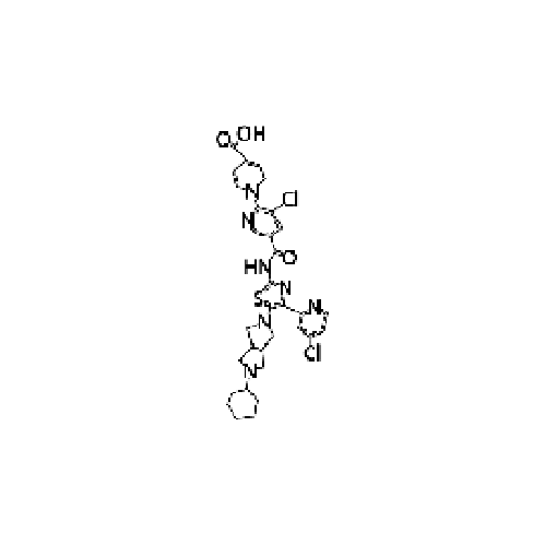 O=C(O)C1=CCN(c2ncc(C(=O)Nc3nc(-c4cc(Cl)ccn4)c(N4CC5CN(C6CCCCC6)CC5C4)s3)cc2Cl)C=C1